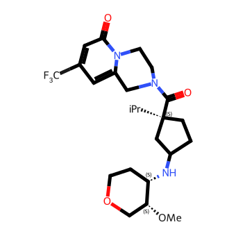 CO[C@@H]1COCC[C@@H]1NC1CC[C@@](C(=O)N2CCn3c(cc(C(F)(F)F)cc3=O)C2)(C(C)C)C1